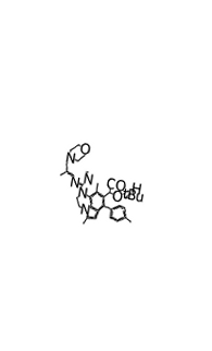 C=N/C(=N\C=C(/C)CN1CCOCC1)N1CCn2c(C)cc3c(-c4ccc(C)cc4)c([C@H](OC(C)(C)C)C(=O)O)c(C)c1c32